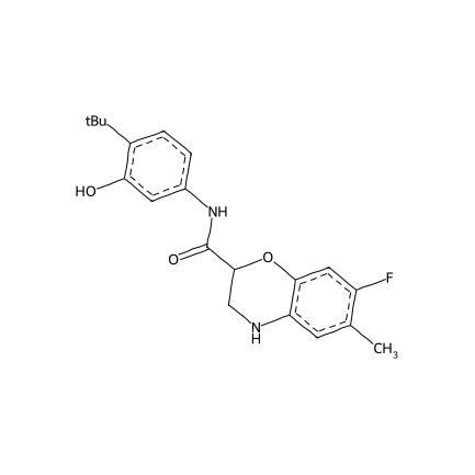 Cc1cc2c(cc1F)OC(C(=O)Nc1ccc(C(C)(C)C)c(O)c1)CN2